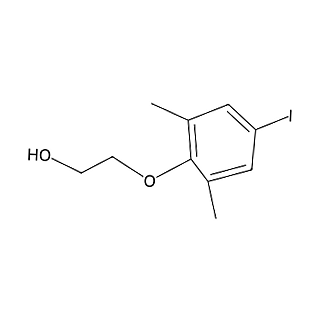 Cc1cc(I)cc(C)c1OCCO